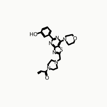 C=CC(=O)N1CCN(Cc2nc3nc(-c4cccc(O)c4)nc(N4CCOCC4)c3s2)CC1